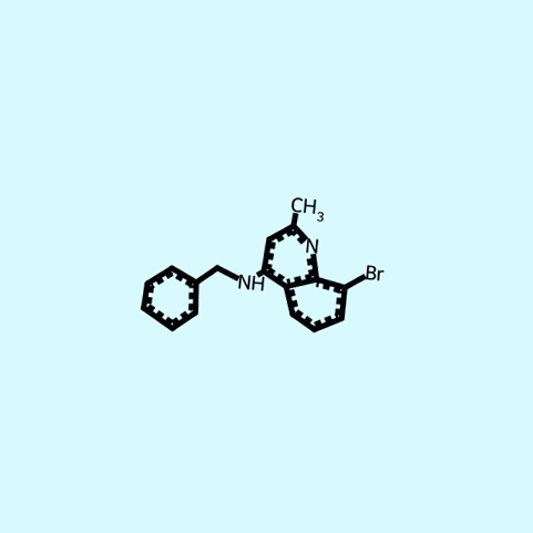 Cc1cc(NCc2ccccc2)c2cccc(Br)c2n1